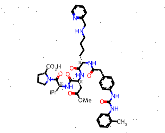 COC(=O)C[C@H](NC(=O)[C@H](CCCCNCc1ccccn1)NC(=O)Cc1ccc(NC(=O)Nc2ccccc2C)cc1)C(=O)N[C@H](C(=O)N1CCCC1C(=O)O)C(C)C